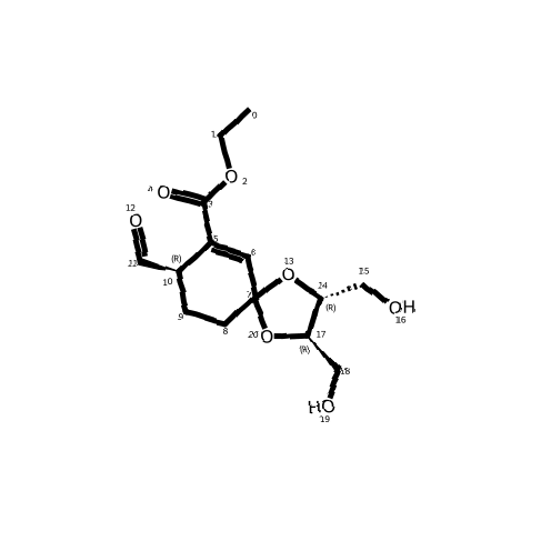 CCOC(=O)C1=CC2(CC[C@H]1C=O)O[C@H](CO)[C@@H](CO)O2